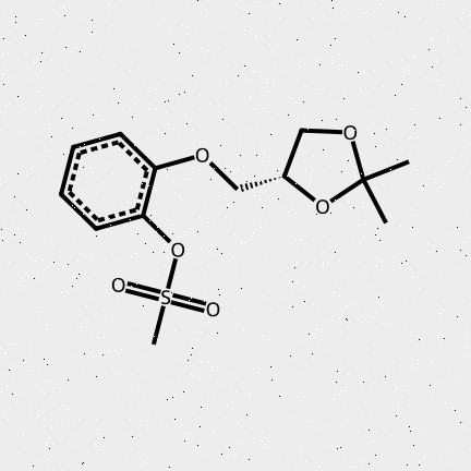 CC1(C)OC[C@@H](COc2ccccc2OS(C)(=O)=O)O1